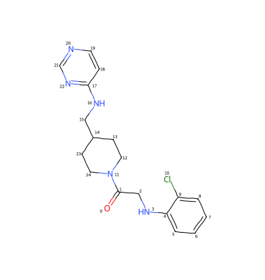 O=C(CNc1ccccc1Cl)N1CCC(CNc2ccncn2)CC1